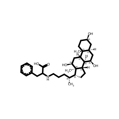 C[C@H](CCCNC(Cc1ccccc1)C(=O)O)[C@H]1CC[C@H]2[C@@H]3[C@H](O)C[C@@H]4C[C@H](O)CC[C@]4(C)[C@H]3C[C@H](O)[C@]12C